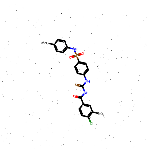 COc1ccc(NS(=O)(=O)c2ccc(NC(=S)NC(=O)c3ccc(Cl)c([N+](=O)[O-])c3)cc2)cc1